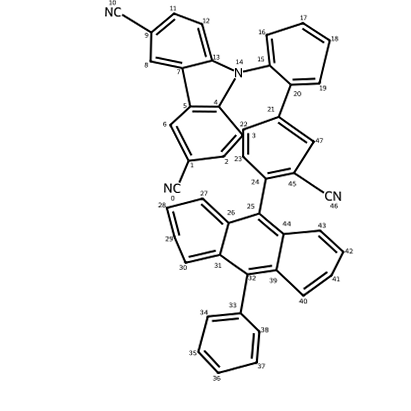 N#Cc1ccc2c(c1)c1cc(C#N)ccc1n2-c1ccccc1-c1ccc(-c2c3ccccc3c(-c3ccccc3)c3ccccc23)c(C#N)c1